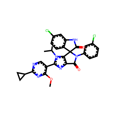 COc1nc(C2CC2)ncc1-c1nc2c(n1C(C)C)C1(C(=O)Nc3cc(Cl)ccc31)N(c1cccc(Cl)c1)C2=O